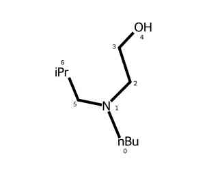 CCCCN(CCO)CC(C)C